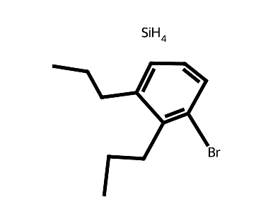 CCCc1cccc(Br)c1CCC.[SiH4]